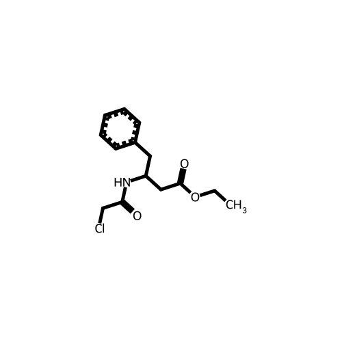 CCOC(=O)CC(Cc1ccccc1)NC(=O)CCl